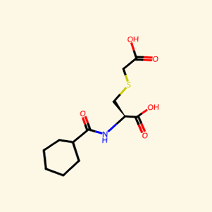 O=C(O)CSC[C@H](NC(=O)C1CCCCC1)C(=O)O